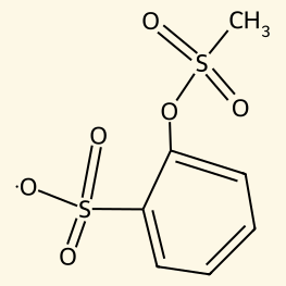 CS(=O)(=O)Oc1ccccc1S([O])(=O)=O